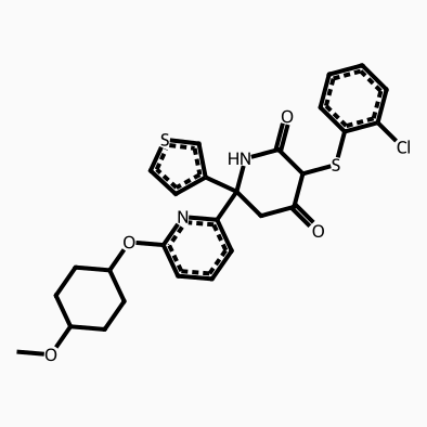 COC1CCC(Oc2cccc(C3(c4ccsc4)CC(=O)C(Sc4ccccc4Cl)C(=O)N3)n2)CC1